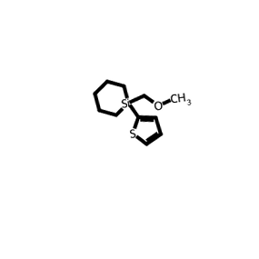 COC[Si]1(c2cccs2)CCCCC1